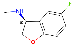 CN[C@@H]1COc2ccc(F)cc21